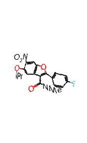 CNC(=O)c1c(-c2ccc(F)cc2)oc2cc([N+](=O)[O-])c(OC(C)C)cc12